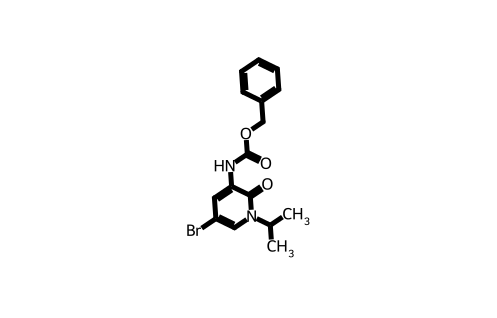 CC(C)n1cc(Br)cc(NC(=O)OCc2ccccc2)c1=O